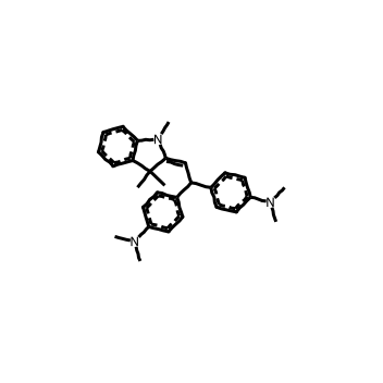 CN(C)c1ccc(C(C=C2N(C)c3ccccc3C2(C)C)c2ccc(N(C)C)cc2)cc1